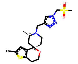 CCc1cc2c(s1)CCO[C@@]21CCN(Cc2cn(CS(C)(=O)=O)nn2)[C@@H](C)C1